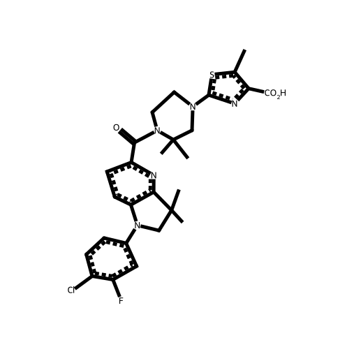 Cc1sc(N2CCN(C(=O)c3ccc4c(n3)C(C)(C)CN4c3ccc(Cl)c(F)c3)C(C)(C)C2)nc1C(=O)O